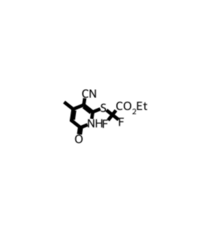 CCOC(=O)C(F)(F)Sc1[nH]c(=O)cc(C)c1C#N